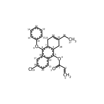 C=CC(=O)Oc1c2c(c(Oc3ccccc3)c3cc(Cl)ccc13)CC=C(CC)C2